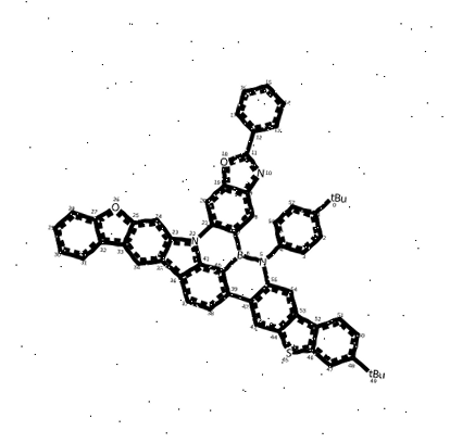 CC(C)(C)c1ccc(N2B3c4cc5nc(-c6ccccc6)oc5cc4-n4c5cc6oc7ccccc7c6cc5c5ccc(c3c54)-c3cc4sc5cc(C(C)(C)C)ccc5c4cc32)cc1